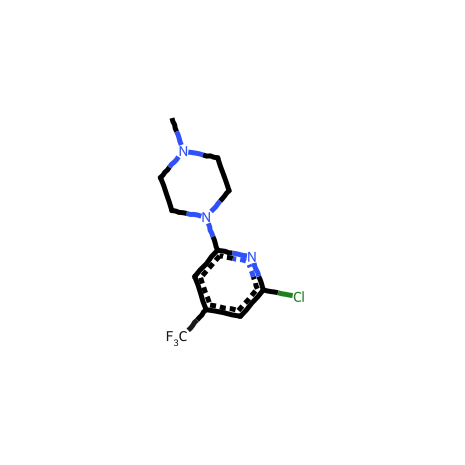 CN1CCN(c2cc(C(F)(F)F)cc(Cl)n2)CC1